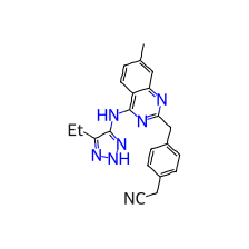 CCc1n[nH]nc1Nc1nc(Cc2ccc(CC#N)cc2)nc2cc(C)ccc12